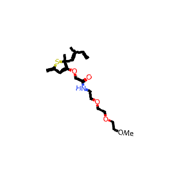 C=C/C(C)=C/C1(C)SC(=C)C=C1OCC(=O)NCCOCCOCCOC